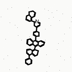 C1=CC2=C(C3CC(C4=CC=C(c5c6ccccc6c(C6=c7cccc(-c8ccccc8)c7=CCC6)c6ccccc56)CC4)=CC=N3)C=CCC2CC1